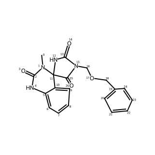 CN1C(=O)Nc2ccccc2C12NC(=O)N(COCc1ccccc1)C2=O